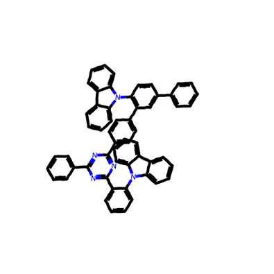 c1ccc(-c2ccc(-n3c4ccccc4c4ccccc43)c(-c3ccc(-c4nc(-c5ccccc5)nc(-c5ccccc5-n5c6ccccc6c6ccccc65)n4)cc3)c2)cc1